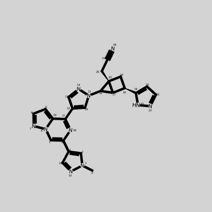 Cn1cc(-c2cn3nccc3c(-c3cnn(C4C5[C@H](c6ccn[nH]6)C[C@]54CC#N)c3)n2)cn1